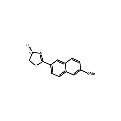 CC[C@@H]1CSC(c2ccc3cc(OC)ccc3c2)=N1